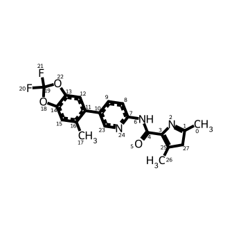 CC1=NC(C(=O)Nc2ccc(-c3cc4c(cc3C)OC(F)(F)O4)cn2)=C(C)C1